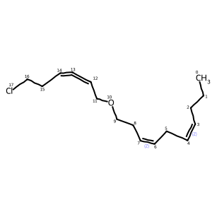 CCC/C=C\C/C=C\CCOCC=C=CCCCl